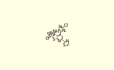 CCCC[S+]([O-])c1sc2nc(-c3nccs3)cc(-c3cnc(Cl)n3C)c2c1N